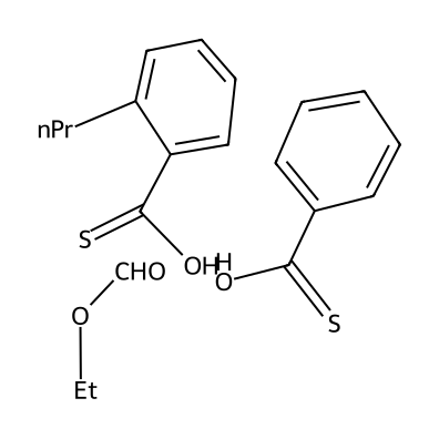 CCCc1ccccc1C(O)=S.CCOC=O.OC(=S)c1ccccc1